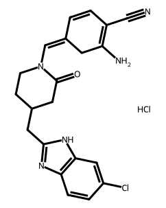 Cl.N#CC1=C(N)CC(=CN2CCC(Cc3nc4ccc(Cl)cc4[nH]3)CC2=O)C=C1